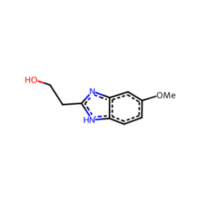 COc1ccc2[nH]c(CCO)nc2c1